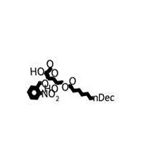 CCCCCCCCCCCCCCCC(=O)OCC(O)C1OC(=O)C(O)=C1OCc1ccccc1[N+](=O)[O-]